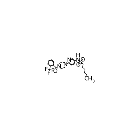 CCCCCCS(=O)(=O)Nc1ccc(N2CCN(C(=O)c3ccccc3C(F)(F)F)CC2)nc1